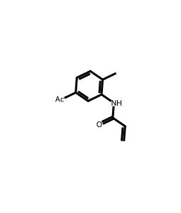 C=CC(=O)Nc1cc(C(C)=O)ccc1C